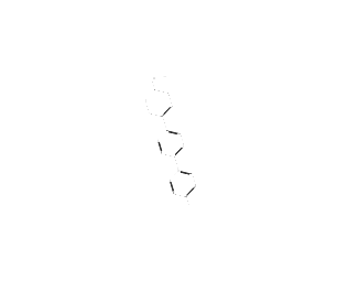 CCCCCCC1CC=C(c2ccc(-c3ccc(C(=O)O)cc3)cc2)CC1